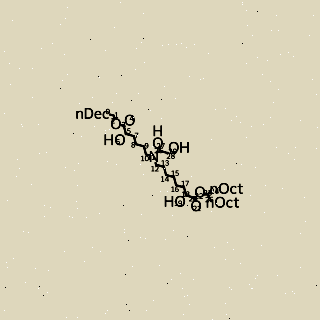 CCCCCCCCCCCOC(=O)C(O)CCCCN(CCCCCCC(O)C(=O)OC(CCCCCCCC)CCCCCCCC)C(O)CO